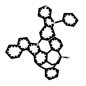 c1ccc(-n2c3ccc(-n4c5ccc6ccccc6c5c5cc6c7c(c54)-c4ccccc4[C@H](CC7)c4ccccc4-6)cc3c3ccncc32)cc1